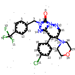 O=c1n(Cc2ccc(C(F)(F)F)cc2)nc2c(-c3ccc(Cl)cc3)c(N3CCOCC3)cnn12